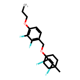 CC12CCC(OCc3ccc(OCCC(F)(F)F)c(F)c3F)(CC1)C(F)=C2F